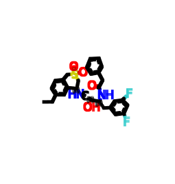 CCc1ccc2c(c1)[C@@H](NC[C@@H](O)[C@H](Cc1cc(F)cc(F)c1)NC(=O)Cc1ccccc1)CS(=O)(=O)C2